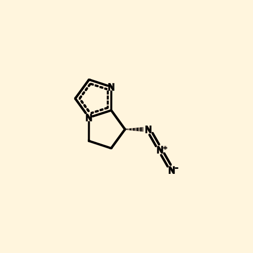 [N-]=[N+]=N[C@@H]1CCn2ccnc21